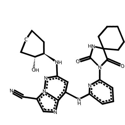 N#Cc1cnc2c(Nc3cccc(N4C(=O)NC5(CCCCC5)C4=O)n3)cc(N[C@@H]3CCCC[C@H]3O)nn12